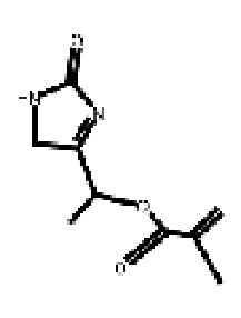 C=C(C)C(=O)OC(C)C1=NC(=O)NC1